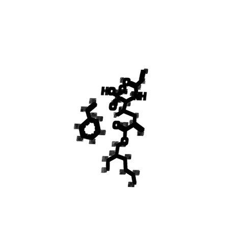 C=CC(=O)NC(C(C)CC(=C)C(=O)OCC(CC)CCCC)S(=O)(=O)O.C=Cc1ccccc1